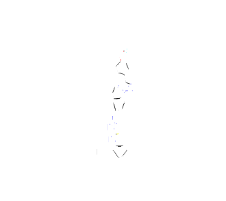 Cc1cccc(C)c1NC(=S)N/N=C/c1ccc2c(ccn3c(-c4ccc(OC(F)(F)F)cc4)cnc23)c1